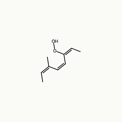 C\C=C(C)/C=C\C(=C/C)OO